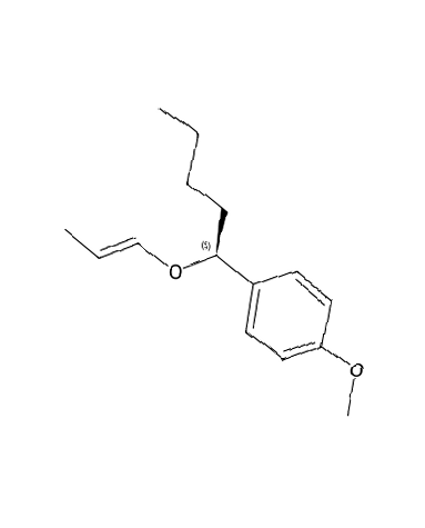 CC=CO[C@@H](CCCC)c1ccc(OC)cc1